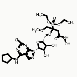 CCOP(=O)(OCC)C(COC)(CC(=O)NO)OC[C@H]1O[C@@H](n2ncc3c(NC4CCCC4)nc(Cl)nc32)[C@H](O)[C@@H]1O